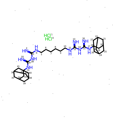 Cl.Cl.N=C(NCCCCCCNC(=N)NC(=N)NC12CC3CC(CC(C3)C1)C2)NC(=N)NC12CC3CC(CC(C3)C1)C2